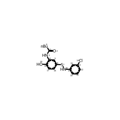 CCCCC(=O)Nc1cc(SNc2cccc(Cl)c2)ccc1O